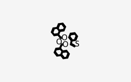 O=C(OC(=O)c1cccc2ccccc12)c1cccc2ccccc12.c1ccc2sccc2c1